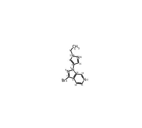 CCn1cc(-n2nc(Br)c3ccncc32)cn1